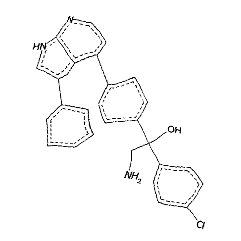 NCC(O)(c1ccc(Cl)cc1)c1ccc(-c2ccnc3[nH]cc(-c4ccccc4)c23)cc1